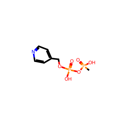 CP(=O)(O)OP(=O)(O)OCc1ccncc1